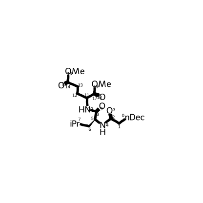 CCCCCCCCCCCC(=O)N[C@@H](CC(C)C)C(=O)NC(CCC(=O)OC)C(=O)OC